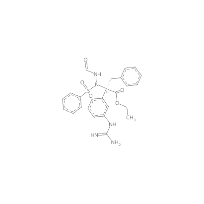 CCOC(=O)[C@@](Cc1ccccc1)(c1cccc(NC(=N)N)c1)N(NC=O)S(=O)(=O)c1ccccc1